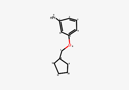 CCCc1cccc(OCC2CCCC2)c1